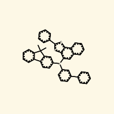 CC1(C)c2ccccc2-c2ccc(N(c3cccc(-c4ccccc4)c3)c3cc4ccccc4c4oc(-c5ccccc5)nc34)cc21